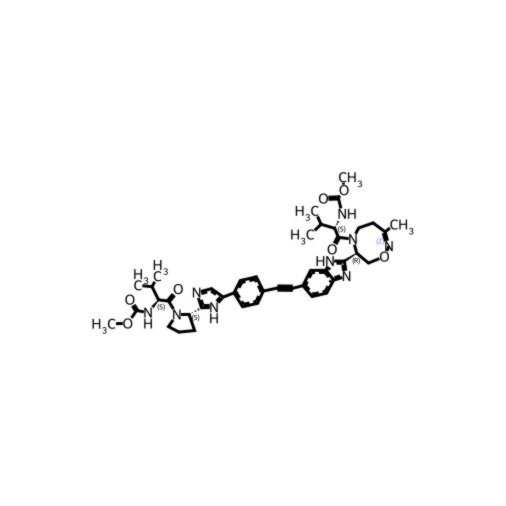 COC(=O)N[C@H](C(=O)N1CCC[C@H]1c1ncc(-c2ccc(C#Cc3ccc4nc([C@@H]5CO/N=C(/C)CCN5C(=O)[C@@H](NC(=O)OC)C(C)C)[nH]c4c3)cc2)[nH]1)C(C)C